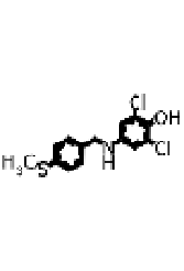 CSc1ccc(CNc2cc(Cl)c(O)c(Cl)c2)cc1